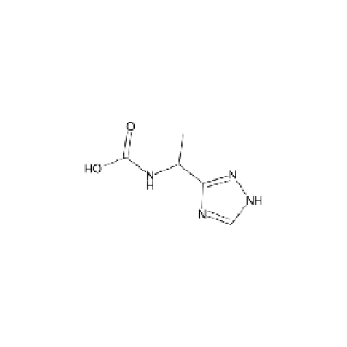 CC(NC(=O)O)c1nc[nH]n1